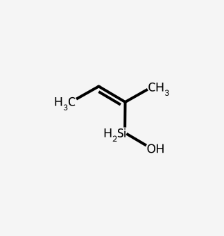 CC=C(C)[SiH2]O